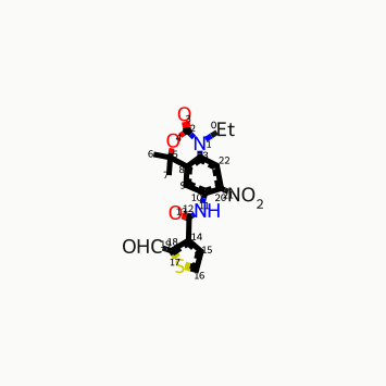 CCN1C(=O)OC(C)(C)c2cc(NC(=O)c3ccsc3C=O)c([N+](=O)[O-])cc21